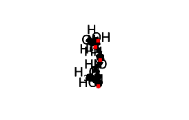 CN(CCNC(=O)c1ccc(CNC[C@@H](O)c2ccc(O)c3[nH]c(=O)ccc23)cc1)Cc1cnc(C(O)(c2ccccc2)c2ccccc2)o1